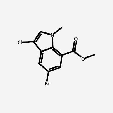 COC(=O)c1cc(Br)cc2c(Cl)cn(C)c12